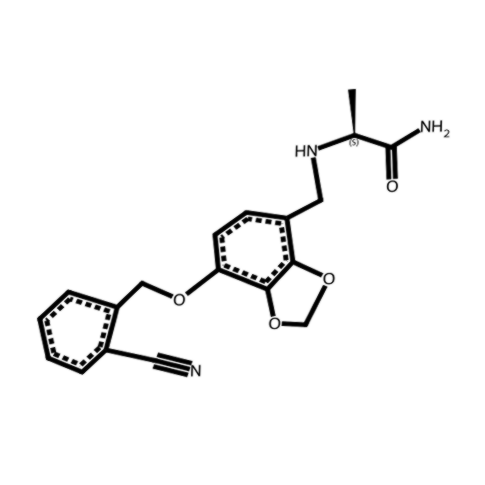 C[C@H](NCc1ccc(OCc2ccccc2C#N)c2c1OCO2)C(N)=O